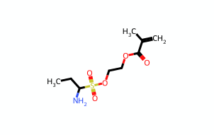 C=C(C)C(=O)OCCOS(=O)(=O)C(N)CC